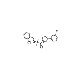 CC(C)(SCc1ccccc1Cl)C(=O)N1CCC(c2cccc(F)c2)C1